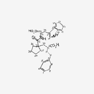 O=C(O)C(CCc1ccccc1)CC1(C(=O)N[C@@H](Cc2c[nH]c3ccccc23)C(=O)O)CCCC1